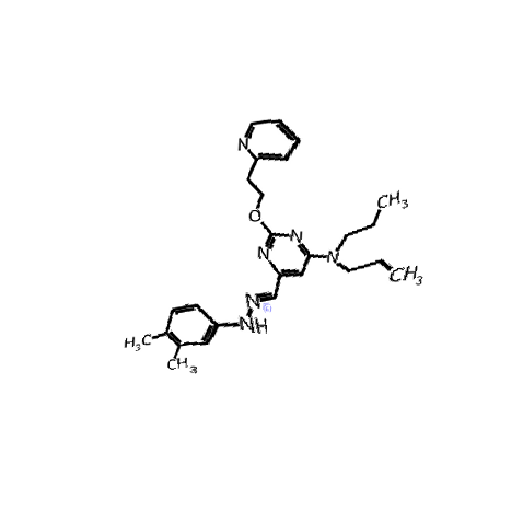 CCCN(CCC)c1cc(/C=N/Nc2ccc(C)c(C)c2)nc(OCCc2ccccn2)n1